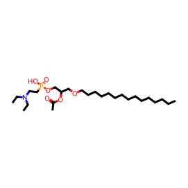 CCCCCCCCCCCCCCCOCC(COP(=O)(O)CCN(CC)CC)OC(C)=O